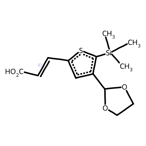 C[Si](C)(C)c1sc(/C=C/C(=O)O)cc1C1OCCO1